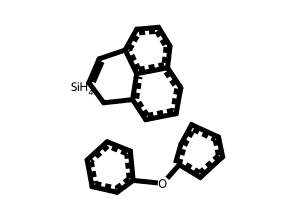 C1=Cc2cccc3cccc(c23)C1.[SiH4].c1ccc(Oc2ccccc2)cc1